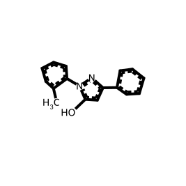 Cc1ccccc1-n1nc(-c2ccccc2)cc1O